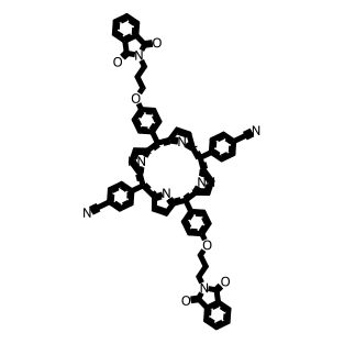 N#Cc1ccc(-c2c3nc(c(-c4ccc(OCCCN5C(=O)c6ccccc6C5=O)cc4)c4ccc([nH]4)c(-c4ccc(C#N)cc4)c4nc(c(-c5ccc(OCCCN6C(=O)c7ccccc7C6=O)cc5)c5ccc2[nH]5)C=C4)C=C3)cc1